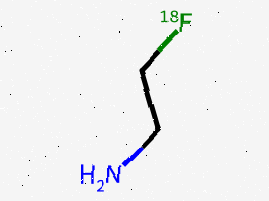 NCC[18F]